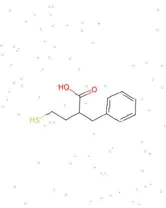 O=C(O)C(CCS)Cc1ccccc1